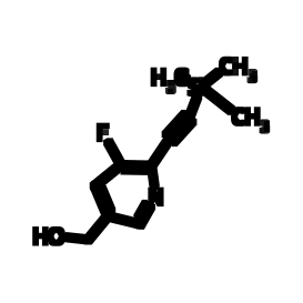 C[Si](C)(C)C#Cc1ncc(CO)cc1F